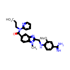 COc1cc(C(=N)N)ccc1NCc1nc2cc(C(=O)N(CCC(=O)O)c3ccccn3)ccc2n1C